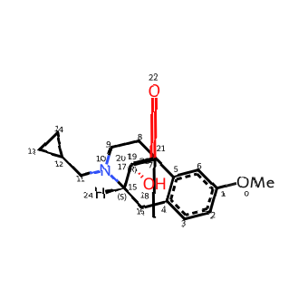 COc1ccc2c(c1)C13CCN(CC4CC4)[C@@H](C2)[C@@]1(O)CCC(=O)C3